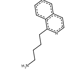 NCCCCc1nccc2ccccc12